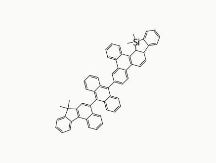 CC1(C)c2ccccc2-c2c1cc(-c1c3ccccc3c(-c3ccc4c5c(c6ccccc6c4c3)C3C(C=C5)c4ccccc4[Si]3(C)C)c3ccccc13)c1ccccc21